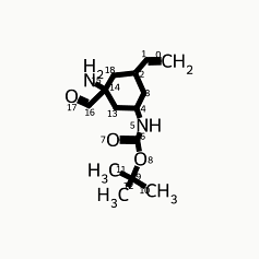 C=CC1CC(NC(=O)OC(C)(C)C)CC(N)(C=O)C1